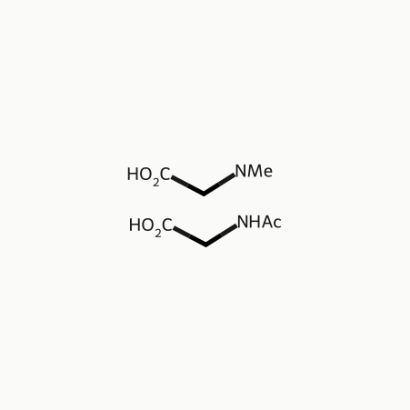 CC(=O)NCC(=O)O.CNCC(=O)O